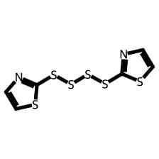 c1csc(SSSSc2nccs2)n1